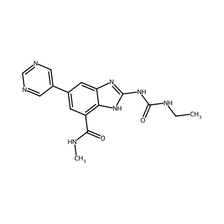 CCNC(=O)Nc1nc2cc(-c3cncnc3)cc(C(=O)NC)c2[nH]1